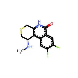 CN[C@H]1CSCc2[nH]c(=O)c3cc(F)c(F)cc3c21